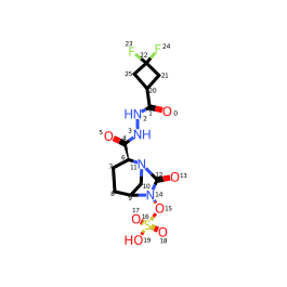 O=C(NNC(=O)[C@@H]1CCC2CN1C(=O)N2OS(=O)(=O)O)C1CC(F)(F)C1